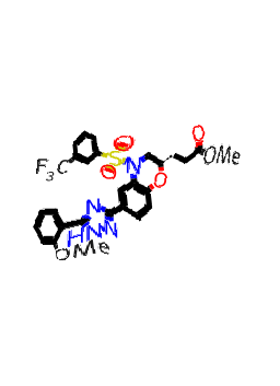 COC(=O)CC[C@H]1CN(S(=O)(=O)c2cccc(C(F)(F)F)c2)c2cc(-c3n[nH]c(-c4ccccc4OC)n3)ccc2O1